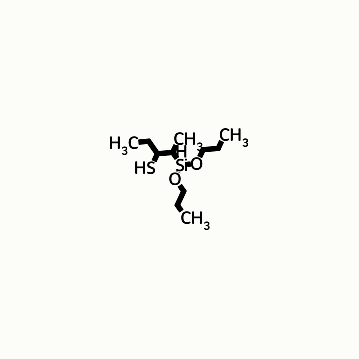 CCCO[SiH](OCCC)C(C)C(S)CC